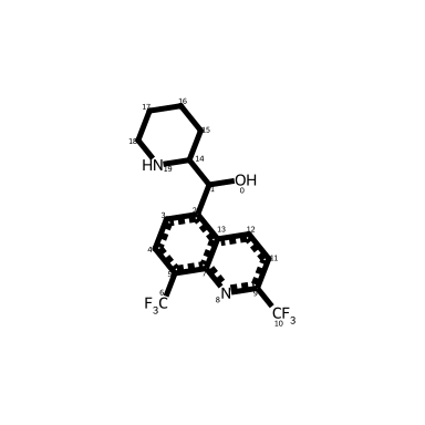 OC(c1ccc(C(F)(F)F)c2nc(C(F)(F)F)ccc12)C1CCCCN1